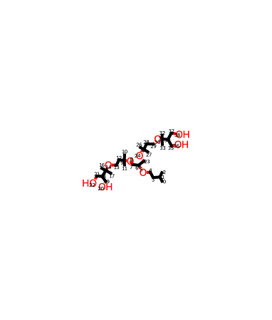 CC(C)CCOC(COC(C)(C)CCOC(C)(C)C(CO)CO)COC(C)(C)CCOC(C)(C)C(CO)CO